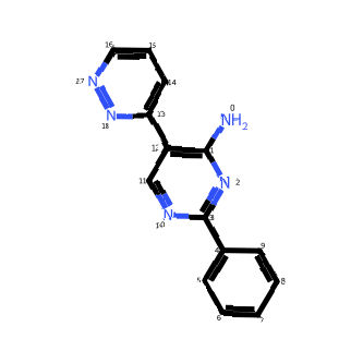 Nc1nc(-c2ccccc2)ncc1-c1cccnn1